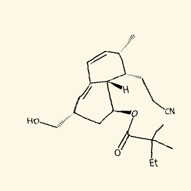 CCC(C)(C)C(=O)O[C@H]1C[C@H](CO)C=C2C=C[C@H](C)[C@H](CCC#N)[C@@H]21